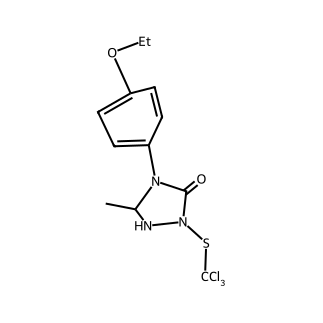 CCOc1ccc(N2C(=O)N(SC(Cl)(Cl)Cl)NC2C)cc1